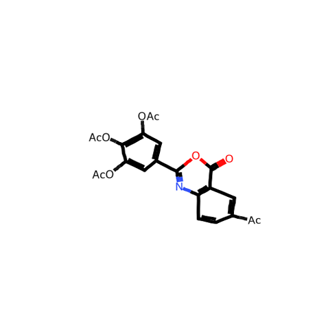 CC(=O)Oc1cc(-c2nc3ccc(C(C)=O)cc3c(=O)o2)cc(OC(C)=O)c1OC(C)=O